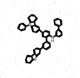 c1ccc(-c2cccc(Nc3ccc(-c4ccc5c(c4)c4ccccc4n5-c4ccccc4)cc3-c3cccc(-c4ccc5c(c4)sc4ccccc45)c3)c2)cc1